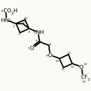 O=C(O)NC12CC(NC(=O)COC3CC(OC(F)(F)F)C3)(C1)C2